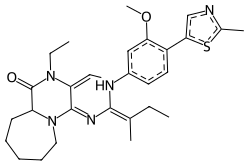 C\C=C1/C(=N\C(Nc2ccc(-c3cnc(C)s3)c(OC)c2)=C(/C)CC)N2CCCCCC2C(=O)N1CC